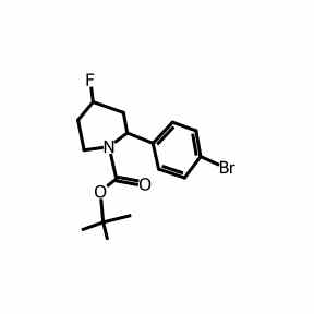 CC(C)(C)OC(=O)N1CCC(F)CC1c1ccc(Br)cc1